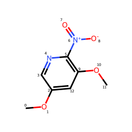 COc1cnc([N+](=O)[O-])c(OC)c1